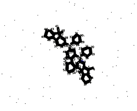 C=C/C(=C\C1=C(C)c2ccccc2C1(C)C)N(c1ccccc1)c1cc(N(c2ccccc2)c2ccc3c(c2)C(C)(C)c2ccccc2-3)cc2sc3ccccc3c12